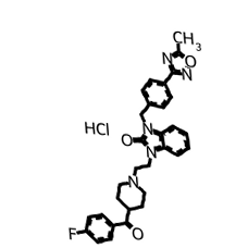 Cc1nc(-c2ccc(Cn3c(=O)n(CCN4CCC(C(=O)c5ccc(F)cc5)CC4)c4ccccc43)cc2)no1.Cl